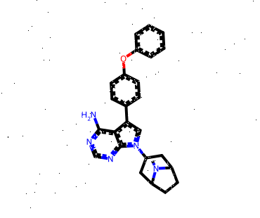 CN1C2CCC1CC(n1cc(-c3ccc(Oc4ccccc4)cc3)c3c(N)ncnc31)C2